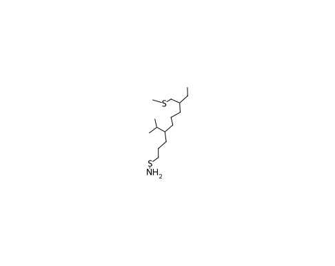 CCC(CCCC(CCCSN)C(C)C)CSC